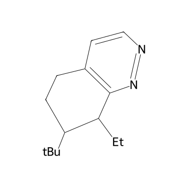 CCC1c2nnccc2CCC1C(C)(C)C